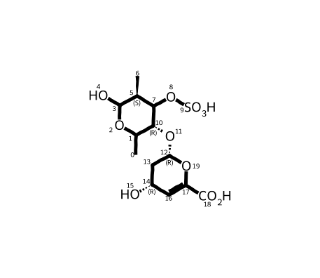 CC1OC(O)[C@@H](C)C(OS(=O)(=O)O)[C@@H]1O[C@H]1C[C@@H](O)C=C(C(=O)O)O1